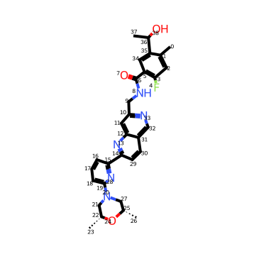 Cc1cc(F)c(C(=O)NCc2cc3nc(-c4cccc(N5C[C@@H](C)O[C@@H](C)C5)n4)ccc3cn2)cc1C(C)O